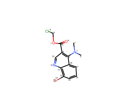 CN(C)c1c(C(=O)OCCl)cnc2c(Br)cccc12